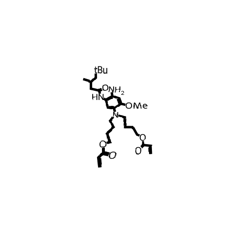 C=CC(=O)OCCCCN(CCCCOC(=O)C=C)c1cc(NC(=O)CC(C)CC(C)(C)C)c(N)cc1OC